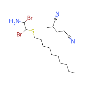 CC(C#N)CCC#N.CCCCCCCCCCSC(Br)C(N)Br